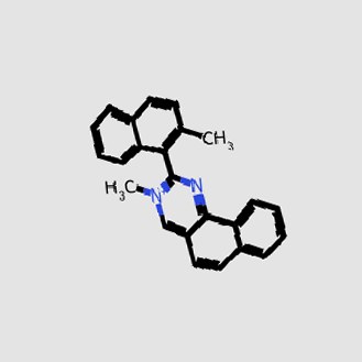 Cc1ccc2ccccc2c1-c1nc2c(ccc3ccccc32)c[n+]1C